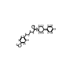 COc1ccc(CCCCC(=O)N2CCC(c3ccccc3)CC2)cc1